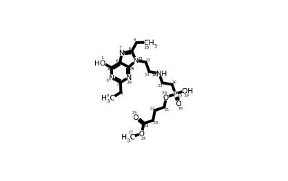 CCc1nc(O)c2nc(CC)n(CCNCCP(=O)(O)OCCCC(=O)OC)c2n1